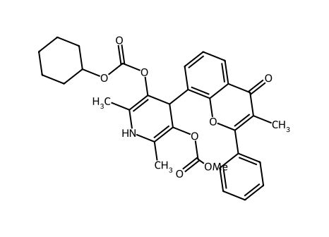 COC(=O)OC1=C(C)NC(C)=C(OC(=O)OC2CCCCC2)C1c1cccc2c(=O)c(C)c(-c3ccccc3)oc12